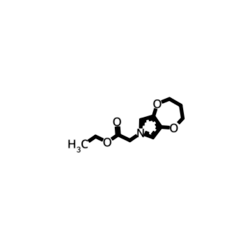 CCOC(=O)Cn1cc2c(c1)OCCCO2